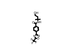 CC(C)(CCO)NC(=O)c1ccc(-c2noc(C(F)(F)F)n2)cc1